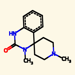 CN1CCC2(CC1)c1ccccc1NC(=O)N2C